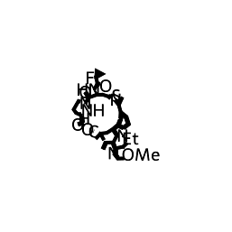 C=C/C(=C(\N=C/C)[C@H](C)OC)c1c2c3cc(ccc3n1CC)-c1csc(n1)C[C@H](NC(=O)C1(F)CC1)C(=O)N1CCC[C@H](N1)C(=O)OCC(C)(C)C2